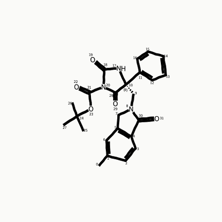 Cc1ccc2c(c1)CN(C[C@@]1(c3ccccc3)NC(=O)N(C(=O)OC(C)(C)C)C1=O)C2=O